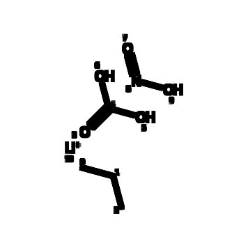 CCC.O=C(O)O.O=NO.[Li+]